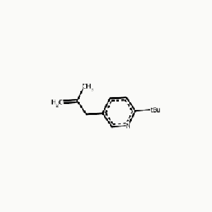 C=C(C)Cc1ccc(C(C)(C)C)nc1